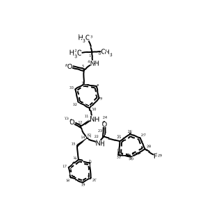 CC(C)(C)NC(=O)c1ccc(NC(=O)[C@H](Cc2ccccc2)NC(=O)c2ccc(F)cc2)cc1